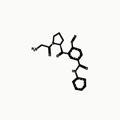 [N]=Nc1ccc(C(=O)Nc2ccccc2)cc1C(=O)[C@@H]1CCCN1C(=O)CN